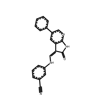 N#Cc1cccc(N/C=C2\C(=O)Nc3ncc(-c4ccccc4)cc32)c1